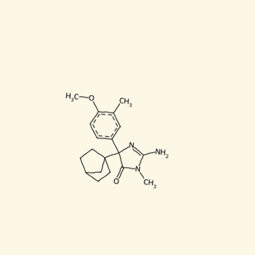 COc1ccc(C2(C34CCC(CC3)C4)N=C(N)N(C)C2=O)cc1C